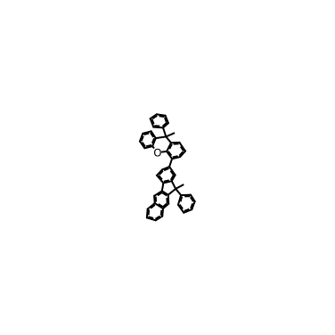 CC1(c2ccccc2)c2cc(-c3cccc4c3Oc3ccccc3C4(C)c3ccccc3)ccc2-c2cc3ccccc3cc21